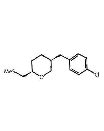 CSC[C@H]1CC[C@@H](Cc2ccc(Cl)cc2)CO1